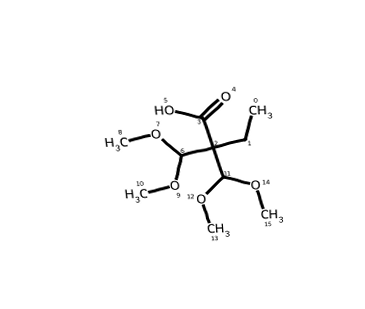 CCC(C(=O)O)(C(OC)OC)C(OC)OC